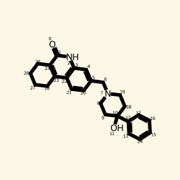 O=c1[nH]c2cc(CN3CCC(O)(c4ccccc4)CC3)ccc2c2c1CCCC2